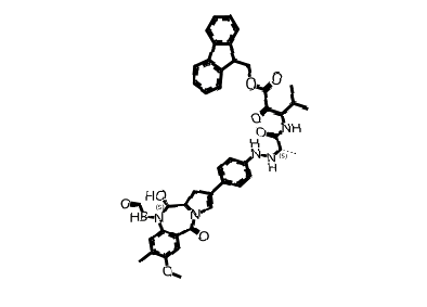 COc1cc2c(cc1C)N(BC=O)[C@@H](O)C1CC(c3ccc(NN[C@@H](C)C(=O)NC(C(=O)C(=O)OCC4c5ccccc5-c5ccccc54)C(C)C)cc3)=CN1C2=O